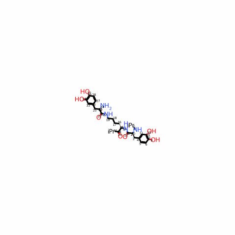 CC(C)N[C@@H](Cc1ccc(O)c(O)c1)C(=O)N[C@@H](CCCCNC(=O)[C@@H](N)Cc1ccc(O)c(O)c1)C(=O)C(C)C